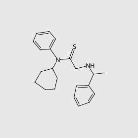 CC(NCC(=S)N(c1ccccc1)C1CCCCC1)c1ccccc1